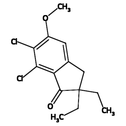 CCC1(CC)Cc2cc(OC)c(Cl)c(Cl)c2C1=O